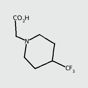 O=C(O)CN1CCC(C(F)(F)F)CC1